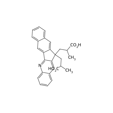 CC(CC1(CC(C)C(=O)O)c2cc3ccccc3cc2-c2nc3ccccc3cc21)C(=O)O